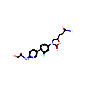 NC(=O)CCC1CN(c2ccc(-c3ccc(NC(=O)CO)nc3)c(F)c2)C(=O)O1